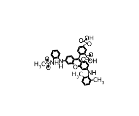 Cc1cccc(C)c1Nc1ccc2c(-c3ccc(S(=O)(=O)O)cc3S(=O)(=O)O)c3ccc(Nc4ccccc4NS(C)(=O)=O)cc3[o+]c2c1